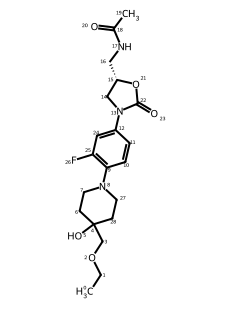 CCOCC1(O)CCN(c2ccc(N3C[C@H](CNC(C)=O)OC3=O)cc2F)CC1